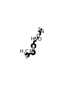 Cc1cscc1-c1cccc(N2CCC(CCNC(=O)OCc3cscn3)CC2)n1